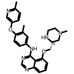 Cc1ccc(Oc2ccc(Nc3ncnc4cccc(OC[C@H]5CN(C)CCN5)c34)cc2C)cn1